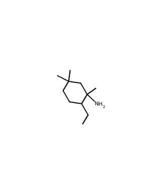 CCC1CCC(C)(C)CC1(C)N